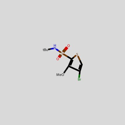 COc1c(Br)csc1S(=O)(=O)NC(C)(C)C